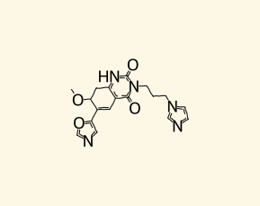 COC1Cc2[nH]c(=O)n(CCCn3ccnc3)c(=O)c2C=C1c1cnco1